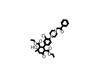 CCOC(=O)C1C(=O)CC(C)(O)C(C(=O)OCC)C1c1ccc(N2CCN(CC(=O)c3ccccc3)CC2)c(Cl)c1